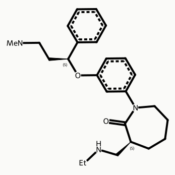 CCNC[C@@H]1CCCCN(c2cccc(O[C@@H](CCNC)c3ccccc3)c2)C1=O